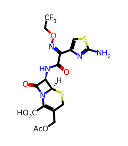 CC(=O)OCC1=C(C(=O)O)N2C(=O)[C@@H](NC(=O)C(=NOCC(F)(F)F)c3csc(N)n3)[C@H]2SC1